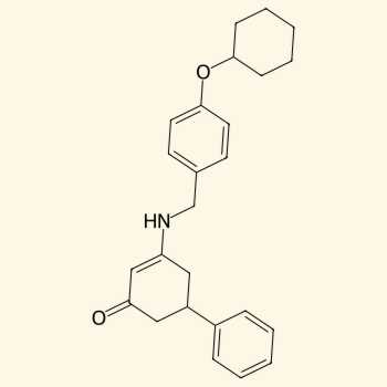 O=C1C=C(NCc2ccc(OC3CCCCC3)cc2)CC(c2ccccc2)C1